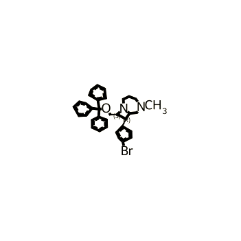 CN1CCCN2C(C1)[C@@H](c1ccc(Br)cc1)[C@H]2COC(c1ccccc1)(c1ccccc1)c1ccccc1